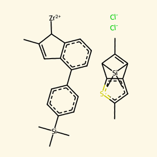 CC1=C2c3cc(C)sc3C1[Si]2(C)C.CC1=Cc2c(-c3ccc([Si](C)(C)C)cc3)cccc2[CH]1[Zr+2].[Cl-].[Cl-]